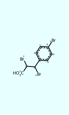 O=C(O)C(Br)C(Br)c1ccc(Br)cc1